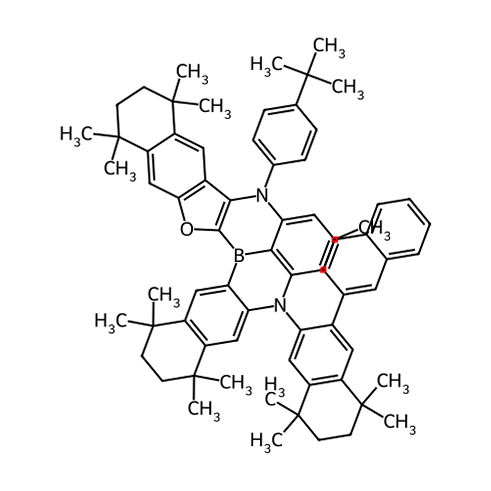 Cc1cc2c3c(c1)N(c1ccc(C(C)(C)C)cc1)c1c(oc4cc5c(cc14)C(C)(C)CCC5(C)C)B3c1cc3c(cc1N2c1cc2c(cc1-c1ccc4ccccc4c1)C(C)(C)CCC2(C)C)C(C)(C)CCC3(C)C